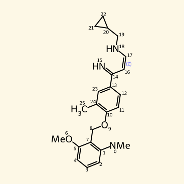 CNc1cccc(OC)c1COc1ccc(C(=N)/C=C\NCC2CC2)cc1C